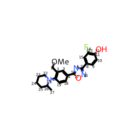 COCc1cc(-c2nc(-c3ccc(O)c(F)c3)no2)ccc1N1CCCCC1C